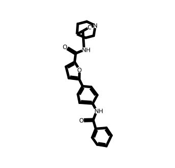 O=C(Nc1ccc(-c2ccc(C(=O)NC3CN4CCC3CC4)o2)cc1)c1ccccc1